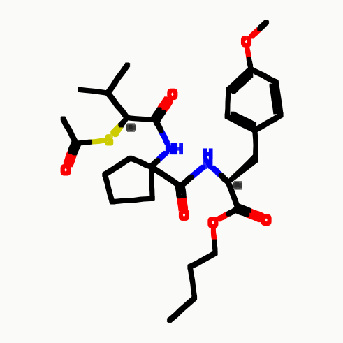 CCCCOC(=O)[C@H](Cc1ccc(OC)cc1)NC(=O)C1(NC(=O)[C@@H](SC(C)=O)C(C)C)CCCC1